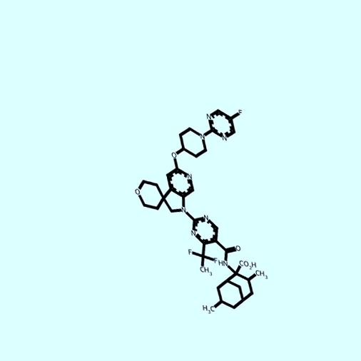 CC1CC2CC(C)C(NC(=O)c3cnc(N4CC5(CCOCC5)c5cc(OC6CCN(c7ncc(F)cn7)CC6)ncc54)nc3C(C)(F)F)(C(=O)O)C(C1)C2